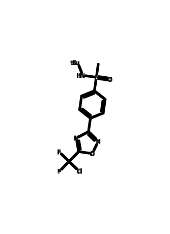 CC(C)(C)NP(C)(=O)c1ccc(-c2noc(C(F)(F)Cl)n2)cc1